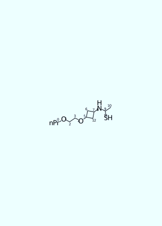 CCCOCCOC1CC(NC(C)S)C1